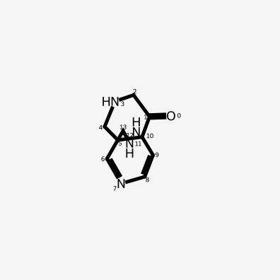 O=C1CNCC23C=NC=CC12NNC3